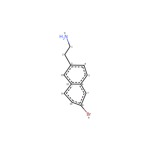 NCCc1ccc2cc(Br)ccc2c1